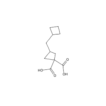 O=C(O)C1(C(=O)O)CC(CC2CCC2)C1